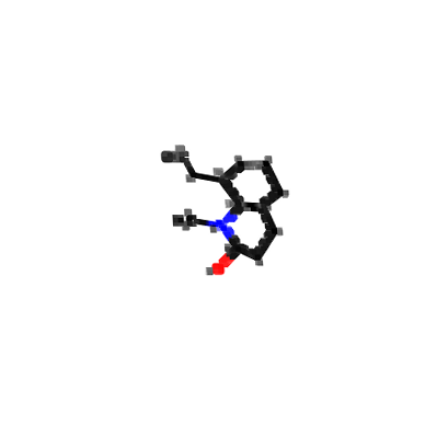 Cn1c(=O)ccc2cccc(CC=O)c21